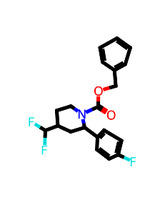 O=C(OCc1ccccc1)N1CCC(C(F)F)CC1c1ccc(F)cc1